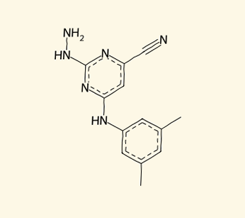 Cc1cc(C)cc(Nc2cc(C#N)nc(NN)n2)c1